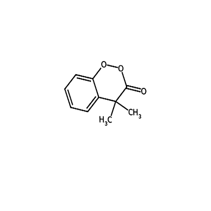 CC1(C)C(=O)OOc2ccccc21